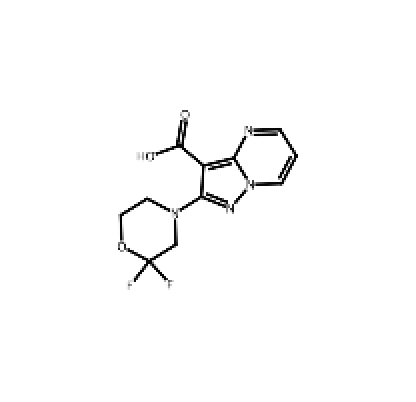 O=C(O)c1c(N2CCOC(F)(F)C2)nn2cccnc12